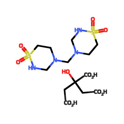 O=C(O)CC(O)(CC(=O)O)C(=O)O.O=S1(=O)CCN(CN2CCS(=O)(=O)NC2)CN1